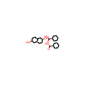 O=C(O)c1ccccc1.O=C(O)c1ccccc1.Oc1ccc2cc(O)ccc2c1